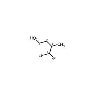 CC(CCO)C(F)F